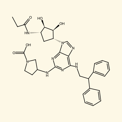 CCC(=O)N[C@H]1C[C@@H](n2cnc3c(NCC(c4ccccc4)c4ccccc4)nc(NC4CCN(C(=O)O)C4)nc32)[C@H](O)[C@@H]1O